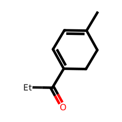 CCC(=O)C1=CC=C(C)CC1